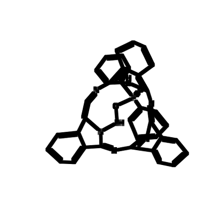 O=P(OBn1c2c3ccccc3/c1=N/C1=NC(=N\c3[nH]c(c4ccccc34)N=C=2)/c2ccccc21)(c1ccccc1)c1ccccc1